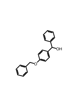 OC(c1ccccc1)c1ccc(OCc2ccccc2)cc1